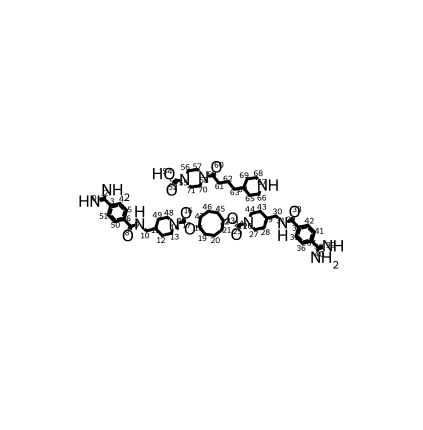 N=C(N)c1ccc(C(=O)NCC2CCN(C(=O)O[C@H]3CCC[C@@H](OC(=O)N4CCC(CNC(=O)c5ccc(C(=N)N)cc5)CC4)CCC3)CC2)cc1.O=C(O)N1CCN(C(=O)CCCC2CCNCC2)CC1